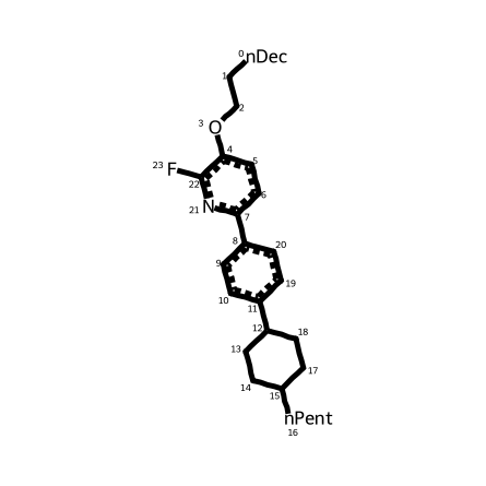 CCCCCCCCCCCCOc1ccc(-c2ccc(C3CCC(CCCCC)CC3)cc2)nc1F